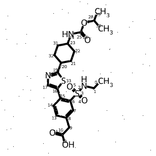 CCNS(=O)(=O)c1cc(CC(=O)O)ccc1-c1cnc(C2CCC(NC(=O)OC(C)C)CC2)s1